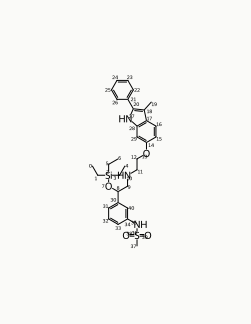 CC[Si](CC)(CC)OC(CNCCOc1ccc2c(C)c(-c3ccccc3)[nH]c2c1)c1cccc(NS(C)(=O)=O)c1